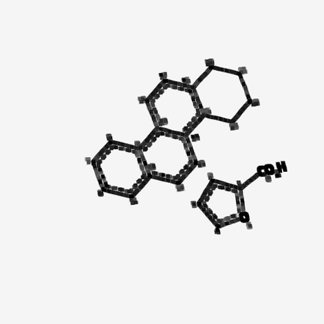 O=C(O)c1ccco1.c1ccc2c(c1)ccc1c3c(ccc12)CCCC3